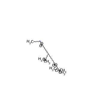 CCCCCC/C=C\COC(=O)CCCCCCCCCC(CCCCCCCCCC(=O)OCCC(CCC(C)C)C(C)C)CCCCN(C)C